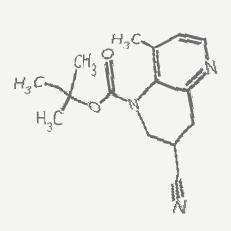 Cc1ccnc2c1N(C(=O)OC(C)(C)C)CC(C#N)C2